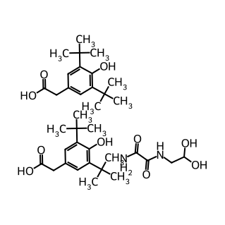 CC(C)(C)c1cc(CC(=O)O)cc(C(C)(C)C)c1O.CC(C)(C)c1cc(CC(=O)O)cc(C(C)(C)C)c1O.NC(=O)C(=O)NCC(O)O